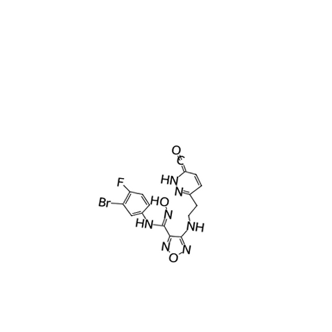 O=C=C1C=CC(CCNc2nonc2C(=NO)Nc2ccc(F)c(Br)c2)=NN1